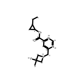 CCC1CC1OC(=O)c1cc(CN2CC(C)(F)C2)ncn1